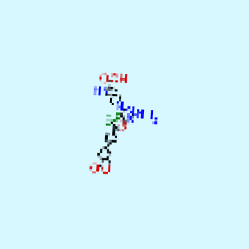 Nc1nc(O[C@H](c2ccc(-c3ccc4c(c3)COC4=O)cc2)C(F)(F)F)cc(N2CCC3(CC2)CN[C@H](C(=O)O)C3)n1